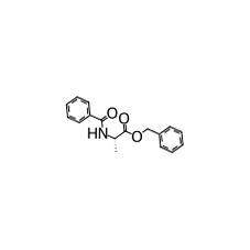 C[C@H](NC(=O)c1ccccc1)C(=O)OCc1ccccc1